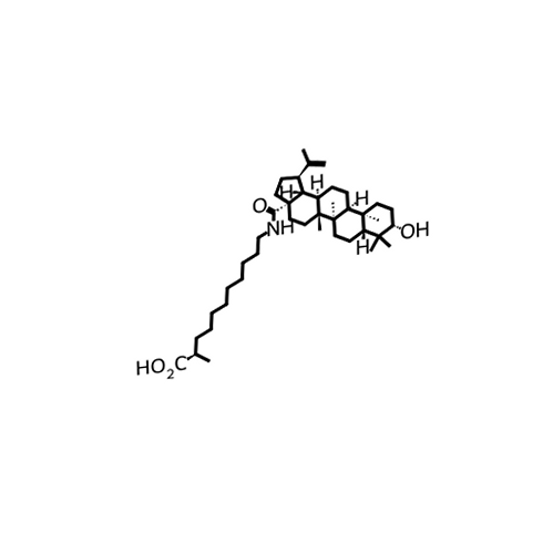 C=C(C)[C@@H]1CC[C@]2(C(=O)NCCCCCCCCC[C@@H](C)C(=O)O)CC[C@]3(C)[C@H](CC[C@H]4[C@@]5(C)CC[C@H](O)C(C)(C)[C@@H]5CC[C@]43C)[C@@H]12